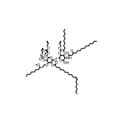 C=CCOC(=O)OC[C@H]1O[C@@H](OC[C@H]2O[C@H](O)[C@H](NC(=O)CC(=O)CCCCCCCCCCC)[C@@H](OCCCCCCCCCC)[C@@H]2OC(=O)OCC=C)[C@H](OC(=O)CCCCCCCCC/C=C\CCCCCC)[C@@H](OCC[C@@H](CCCCCCC)OC)[C@@H]1OP(=O)(OCC=C)OCC=C